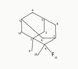 CC12CC3CC(CC(C3)C1(C)F)C2